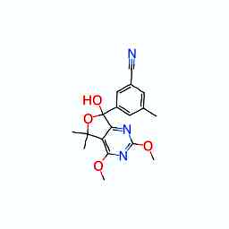 COc1nc(OC)c2c(n1)C(O)(c1cc(C)cc(C#N)c1)OC2(C)C